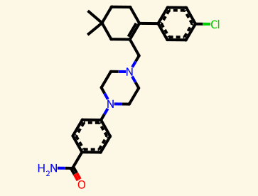 CC1(C)CCC(c2ccc(Cl)cc2)=C(CN2CCN(c3ccc(C(N)=O)cc3)CC2)C1